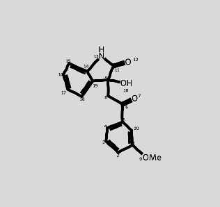 COc1cccc(C(=O)CC2(O)C(=O)Nc3ccccc32)c1